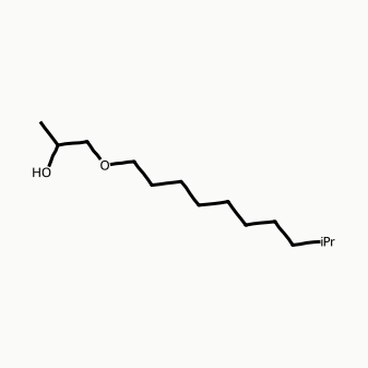 CC(C)CCCCCCCCOCC(C)O